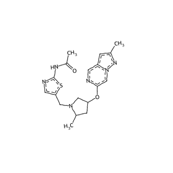 CC(=O)Nc1ncc(CN2CC(Oc3cn4nc(C)cc4cn3)CC2C)s1